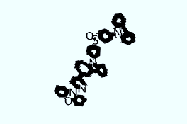 [O-][S+](c1ccc(-n2c3c(c4ccccc42)C=C(c2ccc(N4c5ccccc5Oc5ccccc54)nc2)C=CC3)cc1)c1ccc(-n2c3ccccc3c3ccccc32)cc1